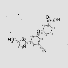 Cc1cnc(-c2cc(C#N)cc(O[C@H]3CCCN(C(=O)O)C3)c2)s1